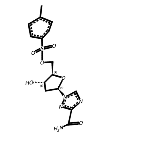 Cc1ccc(S(=O)(=O)OC[C@H]2O[C@@H](n3cnc(C(N)=O)n3)C[C@@H]2O)cc1